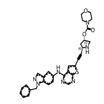 O=C(O[C@@H]1CN[C@@H](C#Cc2cc3c(Nc4ccc5c(cnn5Cc5ccccc5)c4)ncnc3s2)C1)N1CCOCC1